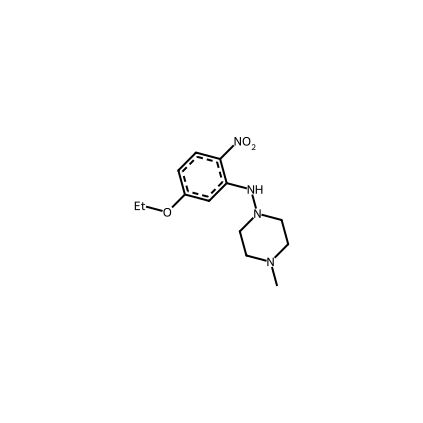 CCOc1ccc([N+](=O)[O-])c(NN2CCN(C)CC2)c1